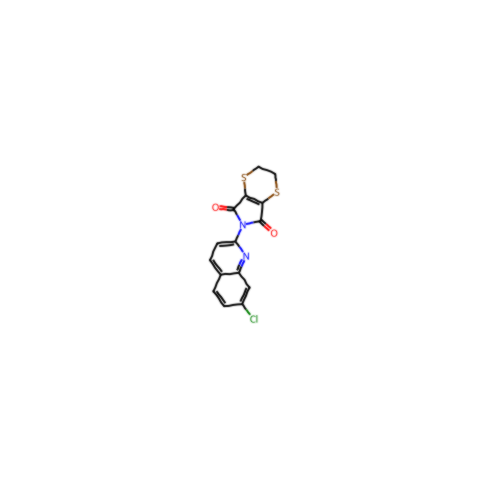 O=C1C2=C(SCCS2)C(=O)N1c1ccc2ccc(Cl)cc2n1